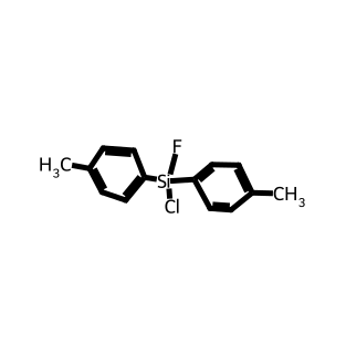 Cc1ccc([Si](F)(Cl)c2ccc(C)cc2)cc1